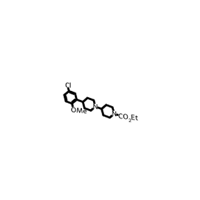 CCOC(=O)N1CCC(N2CCC(c3cc(Cl)ccc3OC)CC2)CC1